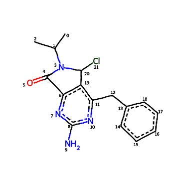 CC(C)N1C(=O)c2nc(N)nc(Cc3ccccc3)c2C1Cl